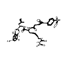 CC(C)C[C@H](NC(=O)[C@H](CCCNC(=N)N[N+](=O)[O-])NC(=O)CCC(=O)c1ccc(S(C)(=O)=O)cc1)B1O[C@@H]2C[C@@H]3C[C@@H](C3(C)C)[C@]2(C)O1